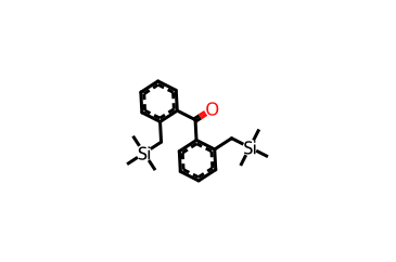 C[Si](C)(C)Cc1ccccc1C(=O)c1ccccc1C[Si](C)(C)C